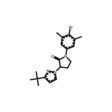 Cc1cc(N2CCC(n3ccc(C(C)(C)C)n3)C2=O)cc(C)c1Br